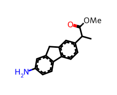 COC(=O)C(C)c1ccc2c(c1)Cc1cc(N)ccc1-2